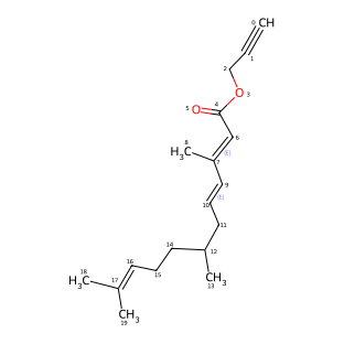 C#CCOC(=O)/C=C(C)/C=C/CC(C)CCC=C(C)C